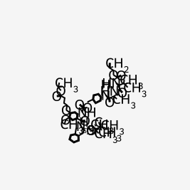 C=CCOC(=O)NC(C(=O)NC(C)C(=O)Nc1ccc(COC(=O)Nc2cc(OCCCC(=O)OCC)c(OC)cc2C(=O)N2Cc3ccccc3C[C@H]2CO[Si](C)(C)C(C)(C)C)cc1)C(C)C